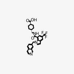 O=C(NC[C@H]1CC[C@H](C(=O)O)CC1)c1cc(C(F)(F)F)cc2ccn(Cc3ccc4ccncc4c3)c12